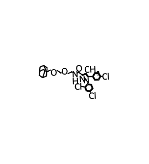 Cc1c(C(=O)NCCOCCOCC23CC4CC(CC(C4)C2)C3)nn(-c2ccc(Cl)cc2Cl)c1-c1ccc(Cl)cc1